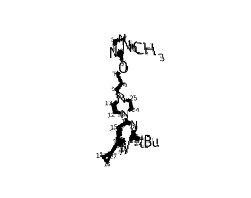 Cn1ncnc1OCCCN1CCN(c2cc(C3CC3)nc(C(C)(C)C)n2)CC1